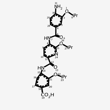 CC(C)Oc1cc(C(=O)Nc2ccc(C(=O)Nc3ccc(C(=O)O)cc3OC(C)C)nc2OC(C)C)ccc1N